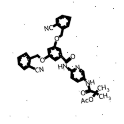 CC(=O)OC(C)(C)C(=O)Nc1ccc(NC(=O)c2cc(OCc3ccccc3C#N)cc(OCc3ccccc3C#N)c2)nc1